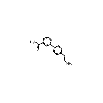 NCCc1ccc(-c2cccc(C(N)=O)c2)cc1